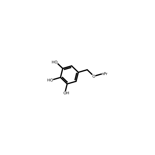 CCCOCc1cc(O)c(O)c(O)c1